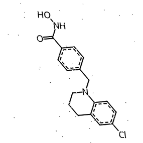 O=C(NO)c1ccc(CN2CCCc3cc(Cl)ccc32)cc1